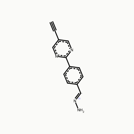 C#Cc1cnc(-c2ccc(/[C]=N/N)cc2)nc1